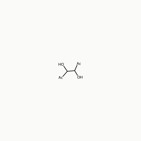 CC(=O)C(O)C(O)C(C)=O